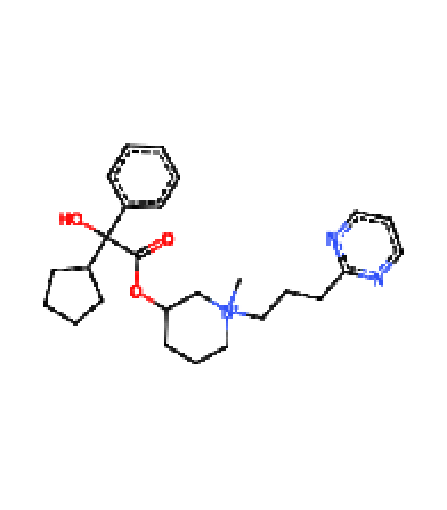 C[N+]1(CCCc2ncccn2)CCCC(OC(=O)C(O)(c2ccccc2)C2CCCC2)C1